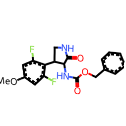 COc1cc(F)c(C2CNC(=O)C2NC(=O)OCc2ccccc2)c(F)c1